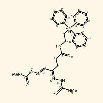 CNC(=S)N/N=C/C(CCC(=O)NCC[PH](c1ccccc1)(c1ccccc1)c1ccccc1)=N/NC(=S)NC